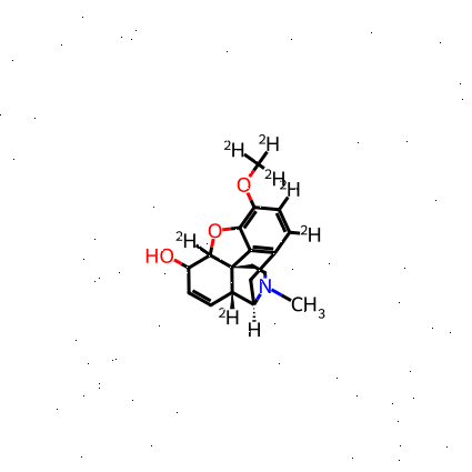 [2H]c1c([2H])c(OC([2H])([2H])[2H])c2c3c1C[C@H]1N(C)CC[C@@]34C([2H])(O2)C(O)C=C[C@@]14[2H]